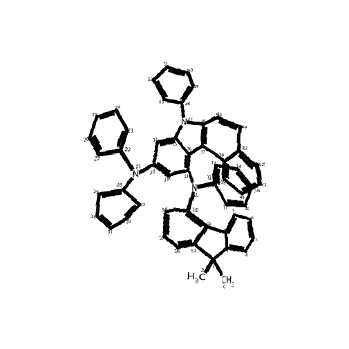 CC1(C)c2ccccc2-c2c(N(c3ccccc3)c3cc(N(c4ccccc4)c4ccccc4)cc4c3c3c5ccccc5ccc3n4-c3ccccc3)cccc21